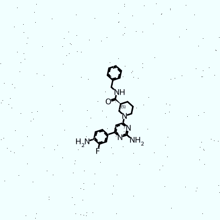 Nc1nc(-c2ccc(N)c(F)c2)cc(N2CCC[C@H](C(=O)NCc3ccccc3)C2)n1